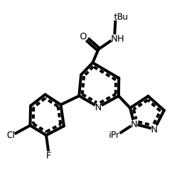 CC(C)n1nccc1-c1cc(C(=O)NC(C)(C)C)cc(-c2ccc(Cl)c(F)c2)n1